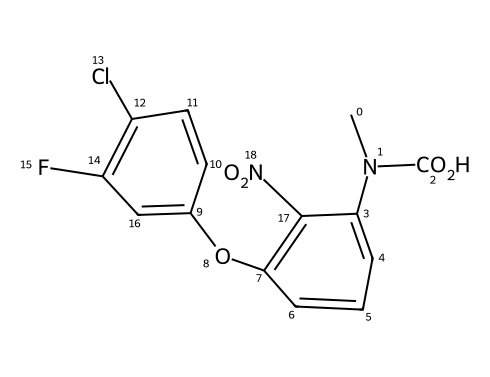 CN(C(=O)O)c1cccc(Oc2ccc(Cl)c(F)c2)c1[N+](=O)[O-]